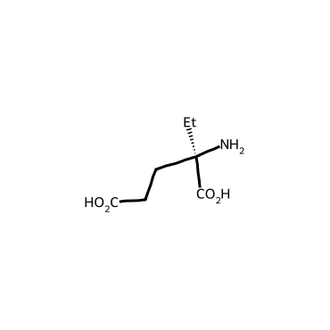 CC[C@@](N)(CCC(=O)O)C(=O)O